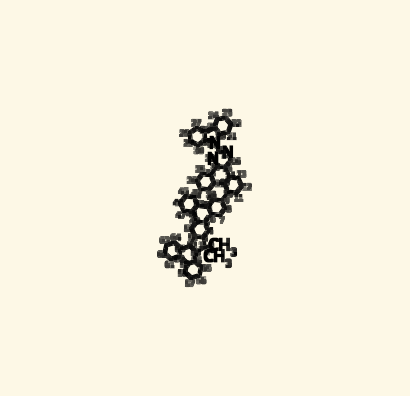 CC1(C)c2cc3c4ccc(-c5cccc(-c6cnc(-n7c8ccccc8c8ccccc87)nc6-c6ccccc6)c5)cc4c4ccccc4c3cc2-c2c1c1ccccc1c1ccccc21